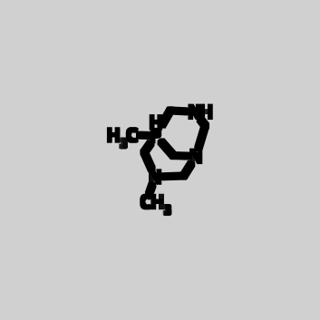 CN1CN2CNC[PH](C)(C1)C2